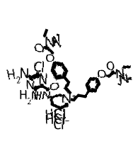 CCN(C(=O)COc1ccc(CCC[N+]2(CCCc3ccc(OCC(=O)N(CC)N(C)C)cc3)CCCC(NC(=O)c3nc(Cl)c(N)nc3N)C2)cc1)N(C)C.Cl.Cl.[Cl-]